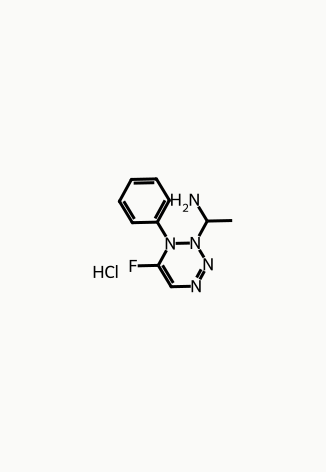 CC(N)N1N=NC=C(F)N1c1ccccc1.Cl